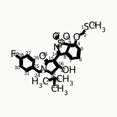 CSCOc1cccc2c1S(=O)(=O)N=C2C1=C(O)[C@H](C(C)(C)C)N(Cc2ccc(F)cc2)C1=O